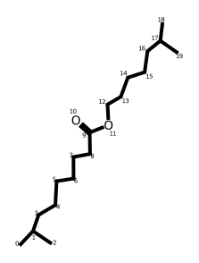 CC(C)CCCCCCC(=O)OCCCCCC(C)C